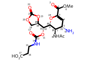 COC(=O)C1=C[C@H](N)[C@@H](NC(C)=O)[C@H]([C@H](OC(=O)NCCC(=O)O)[C@H]2COC(=O)O2)O1